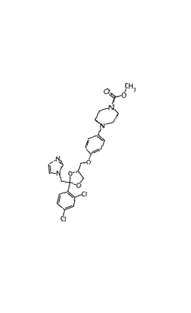 COC(=O)N1CCN(c2ccc(OCC3COC(Cn4ccnc4)(c4ccc(Cl)cc4Cl)O3)cc2)CC1